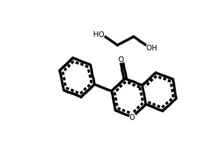 O=c1c(-c2ccccc2)coc2ccccc12.OCCO